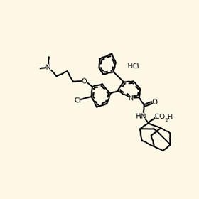 CN(C)CCCOc1cc(-c2nc(C(=O)NC3(C(=O)O)C4CC5CC(C4)CC3C5)ccc2-c2ccccc2)ccc1Cl.Cl